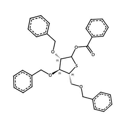 O=C(OC1S[C@H](COCc2ccccc2)[C@@H](OCc2ccccc2)[C@@H]1OCc1ccccc1)c1ccccc1